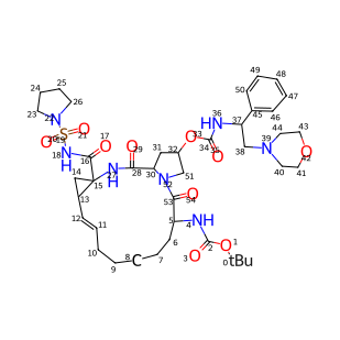 CC(C)(C)OC(=O)NC1CCCCC/C=C/C2CC2(C(=O)NS(=O)(=O)N2CCCC2)NC(=O)C2CC(OC(=O)NC(CN3CCOCC3)c3ccccc3)CN2C1=O